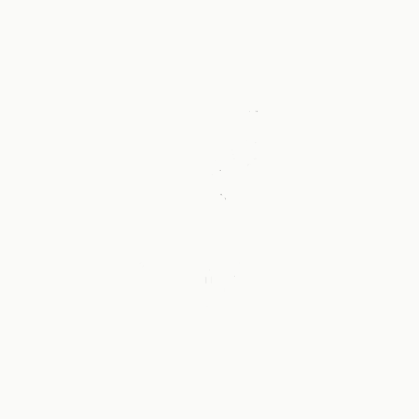 [2H]C([2H])(CCCCCNCC([2H])(O)c1ccc(O)c(CO)c1)OC([2H])([2H])CCCc1ccccc1